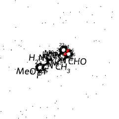 COc1ccc(-c2nn([C@@H](C)/C(=N/c3ccccc3C=O)N(C)c3ccccc3)c3ncnc(N)c23)c(F)c1F